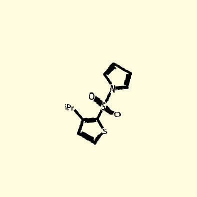 CC(C)c1ccsc1S(=O)(=O)n1cccc1